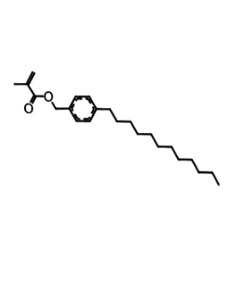 C=C(C)C(=O)OCc1ccc(CCCCCCCCCCCC)cc1